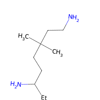 CCC(N)CCC(C)(C)CCN